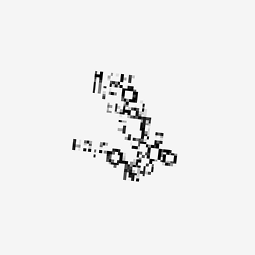 CCC(C)(C)c1ccc(OCCCNC(=O)C2=C(Sc3nnnn3-c3ccc(C(=O)O)cc3)C(=O)C3=C(C2=O)C2CCC3C2)c(C(C)(C)CC)c1